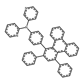 c1ccc(-c2cc(-c3ccccc3)c3c4ccccc4c4ccccc4c3c2-c2ccc(N(c3cccnc3)c3ccccn3)cc2)cc1